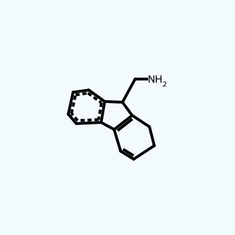 NCC1C2=C(C=CCC2)c2ccccc21